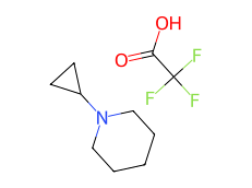 C1CCN(C2CC2)CC1.O=C(O)C(F)(F)F